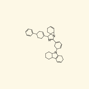 C1=CC(N2C3=C(C=CCC3)C3CCCCC32)CC(C2=NC(C3=CCC(c4ccccc4)CC3)C34CCC=CC3N24)=C1